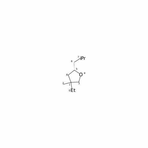 CCC1(C)CO[C@@H](CC(C)C)C1